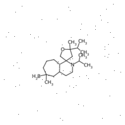 BC1(C)CCCC2C(CCN(C(C)C)C23COC(C)(C(C)C)C3)C1